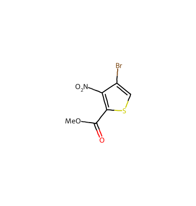 COC(=O)c1scc(Br)c1[N+](=O)[O-]